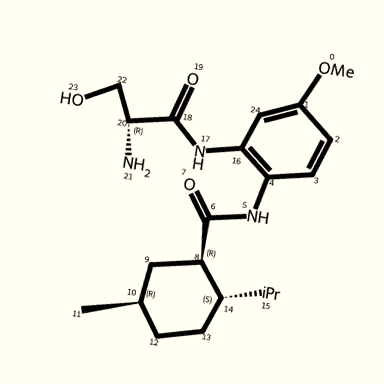 COc1ccc(NC(=O)[C@@H]2C[C@H](C)CC[C@H]2C(C)C)c(NC(=O)[C@H](N)CO)c1